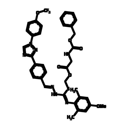 COc1cc(C)c(/N=C(/N/N=C/c2ccc(-c3ncn(-c4ccc(OC(F)(F)F)cc4)n3)cc2)SCOC(=O)CNC(=O)OCc2ccccc2)c(C)c1